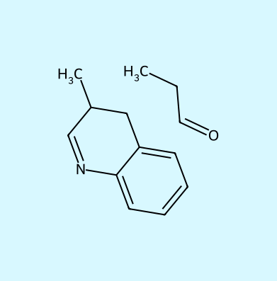 CC1C=Nc2ccccc2C1.CCC=O